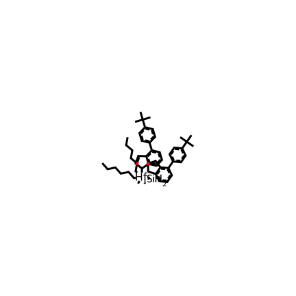 CCCCC[CH2][Hf]([CH3])([CH3])(=[SiH2])([CH2]CCCCC)([CH]1C=Cc2c(-c3ccc(C(C)(C)C)cc3)cccc21)[CH]1C=Cc2c(-c3ccc(C(C)(C)C)cc3)cccc21